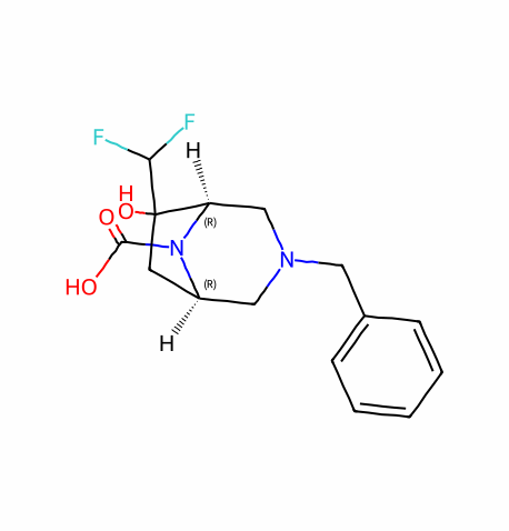 O=C(O)N1[C@H]2CN(Cc3ccccc3)C[C@@H]1C(O)(C(F)F)C2